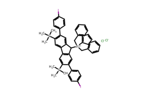 C[Si](C)(C)c1cc2c(cc1-c1ccc(I)cc1)[CH]([Zr+2]([CH2]c1ccccc1)([CH2]c1ccccc1)[C]1=CC=CC1)c1cc(-c3ccc(I)cc3)c([Si](C)(C)C)cc1-2.[Cl-].[Cl-]